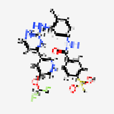 Cc1ccc(NC(=O)c2ccc(S(C)(=O)=O)cc2)cc1Nc1nccc(-c2cncc(OC(F)F)c2)n1